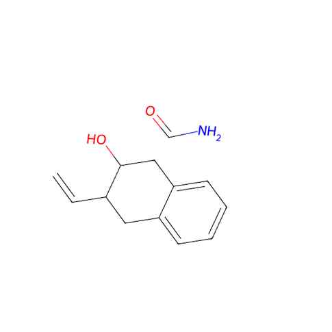 C=CC1Cc2ccccc2CC1O.NC=O